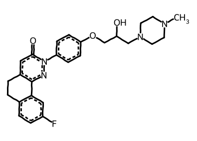 CN1CCN(CC(O)COc2ccc(-n3nc4c(cc3=O)CCc3ccc(F)cc3-4)cc2)CC1